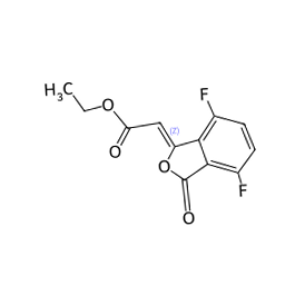 CCOC(=O)/C=C1\OC(=O)c2c(F)ccc(F)c21